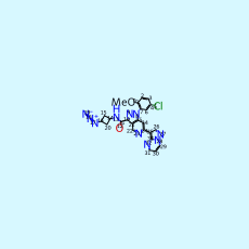 COc1ccc(Cl)cc1-n1nc(C(=O)NC2CC(N=[N+]=[N-])C2)c2cnc(-c3cnn4cccnc34)cc21